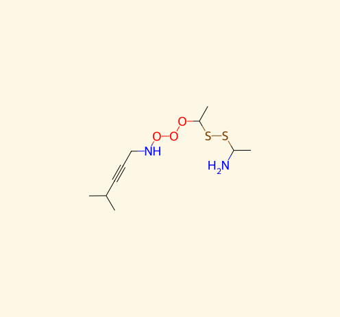 CC(C)C#CCNOOOC(C)SSC(C)N